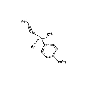 CC#CC(C)(C)c1ccc(C)cc1